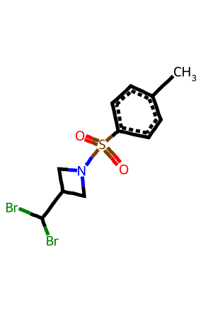 Cc1ccc(S(=O)(=O)N2CC(C(Br)Br)C2)cc1